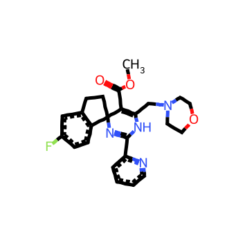 COC(=O)C1=C(CN2CCOCC2)NC(c2ccccn2)=NC12CCc1cc(F)ccc12